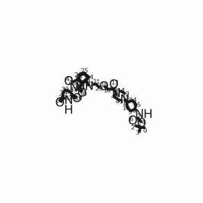 CC(C)(C)OC(=O)NC1CCC(N2CCN(C(=O)COCCNc3cccc4c3C(=O)N(C3CCC(=O)NC3=O)C4=O)CC2)CC1